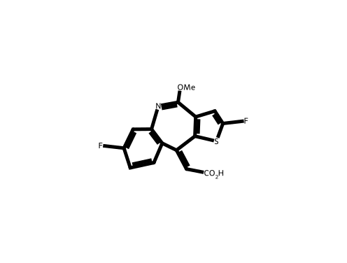 COC1=Nc2cc(F)ccc2/C(=C/C(=O)O)c2sc(F)cc21